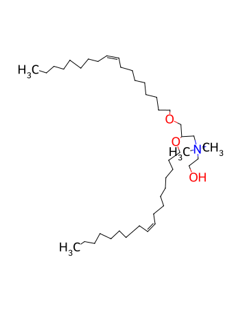 CCCCCCCC/C=C\CCCCCCCCOCC(C[N+](C)(C)CCO)OCCCCCCCC/C=C\CCCCCCCC